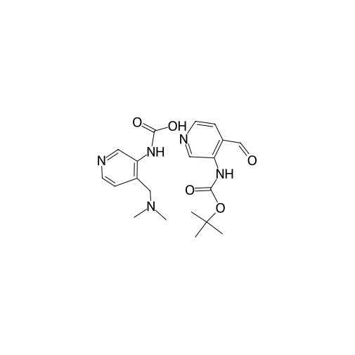 CC(C)(C)OC(=O)Nc1cnccc1C=O.CN(C)Cc1ccncc1NC(=O)O